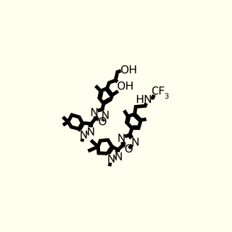 Cc1cc(-c2noc(-c3nn(C)c4c3CCC(C)(C)C4)n2)cc(C)c1CC(O)CO.Cc1cc(-c2noc(-c3nn(C)c4c3CCC(C)(C)C4)n2)cc(C)c1CCNCC(F)(F)F